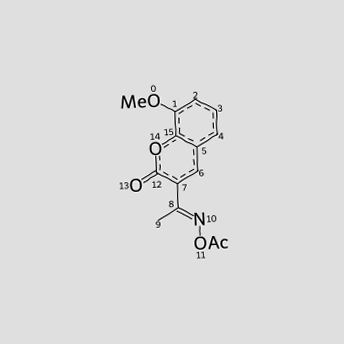 COc1cccc2cc(C(C)=NOC(C)=O)c(=O)oc12